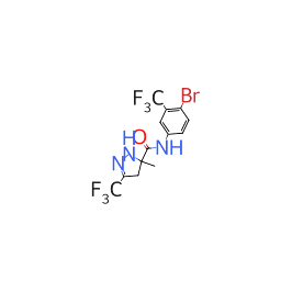 CC1(C(=O)Nc2ccc(Br)c(C(F)(F)F)c2)CC(C(F)(F)F)=NN1